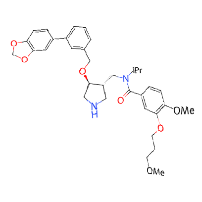 COCCCOc1cc(C(=O)N(C[C@@H]2CNC[C@H]2OCc2cccc(-c3ccc4c(c3)OCO4)c2)C(C)C)ccc1OC